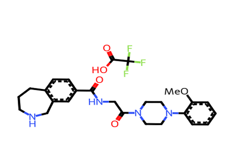 COc1ccccc1N1CCN(C(=O)CNC(=O)c2ccc3c(c2)CNCCC3)CC1.O=C(O)C(F)(F)F